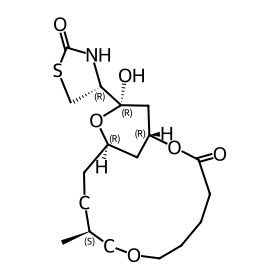 C[C@H]1CC[C@@H]2C[C@H](C[C@](O)([C@@H]3CSC(=O)N3)O2)OC(=O)CCCCOC1